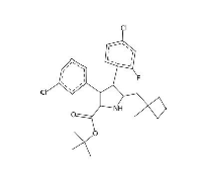 CC1(CC2NC(C(=O)OC(C)(C)C)C(c3cccc(Cl)c3)C2c2ccc(Cl)cc2F)CCC1